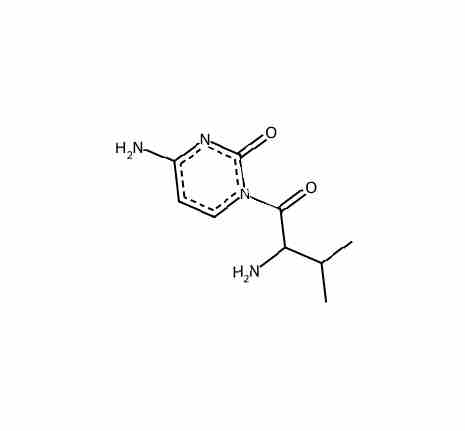 CC(C)C(N)C(=O)n1ccc(N)nc1=O